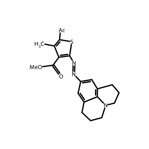 COC(=O)c1c(N=Nc2cc3c4c(c2)CCCN4CCC3)sc(C(C)=O)c1C